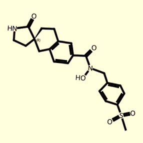 CS(=O)(=O)c1ccc(CN(O)C(=O)c2ccc3c(c2)CC[C@]2(CCNC2=O)C3)cc1